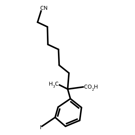 CC(CCCCCCC#N)(C(=O)O)c1cccc(I)c1